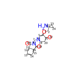 NC1(COC2=CN(CN3C(=O)c4ccccc4C3=O)CCC2=O)CC1